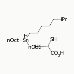 CCCCCCC[CH2][SnH]([CH2]CCCCCCC)[CH2]CCCCC(C)C.O=C(O)C(S)S